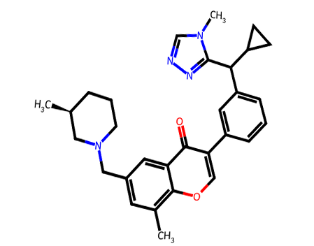 Cc1cc(CN2CCC[C@H](C)C2)cc2c(=O)c(-c3cccc(C(c4nncn4C)C4CC4)c3)coc12